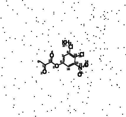 CC(=O)C(=O)Oc1cc(Cl)c(Cl)c([N+](=O)[O-])c1.[KH]